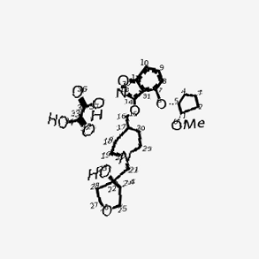 CO[C@H]1CCC[C@H]1Oc1cccc2onc(OCC3CCN(CC4(O)CCOCC4)CC3)c12.O=C(O)C(=O)O